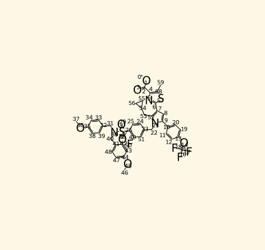 COC(=O)c1nc(-c2cc(-c3ccc(OC(F)(F)F)cc3)n(Cc3ccc(S(=O)(=O)N(Cc4ccc(OC)cc4)Cc4ccc(OC)cc4)c(F)c3)c2CC2CC2)sc1C